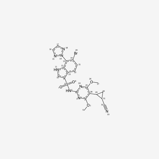 COc1nc(NS(=O)(=O)c2c[nH]c3c(-n4nccn4)c(Br)ccc23)nc(OC)c1C1CC1C#N